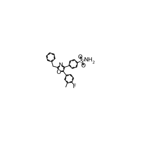 Cc1cc(-c2oc(Cc3ccccc3)nc2-c2ccc(S(N)(=O)=O)cc2)ccc1F